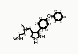 CNCCN(C)CC1CNNC1c1ccc(Oc2ccccc2)cc1